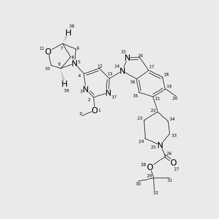 COc1nc(N2C[C@H]3C[C@@H]2CO3)cc(-n2ncc3cc(C)c(C4CCN(C(=O)OC(C)(C)C)CC4)cc32)n1